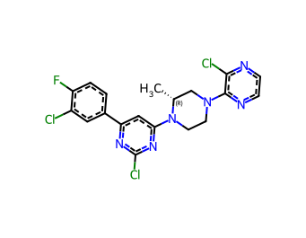 C[C@@H]1CN(c2nccnc2Cl)CCN1c1cc(-c2ccc(F)c(Cl)c2)nc(Cl)n1